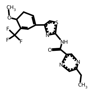 CCc1cnc(C(=O)Nc2nc(C3=CCC(OC)C(C(F)(F)F)=C3)cs2)cn1